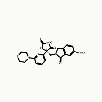 COc1ccc2c(c1)C(=O)N(C[C@@]1(c3cccc(N4CCSCC4)n3)NC(=O)NC1=O)C2